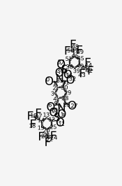 O=c1c2cc3c(=O)n(OS(=O)(=O)c4cc(C(F)(F)F)cc(C(F)(F)F)c4)c(=O)c3cc2c(=O)n1OS(=O)(=O)c1cc(C(F)(F)F)cc(C(F)(F)F)c1